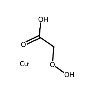 O=C(O)COO.[Cu]